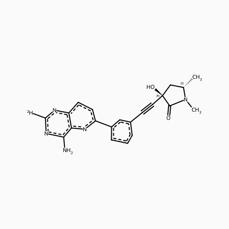 [2H]c1nc(N)c2nc(-c3cccc(C#C[C@]4(O)C[C@H](C)N(C)C4=O)c3)ccc2n1